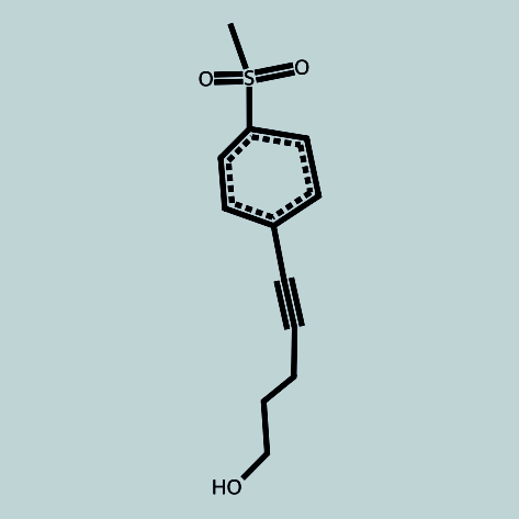 CS(=O)(=O)c1ccc(C#CCCCO)cc1